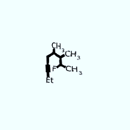 CCC#CCC(C)C(C)C(C)F